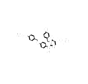 CCOC(=O)c1cnc(Nc2ccc(OCc3ccc(OC)cc3)cc2)n(Cc2ccc(Cl)cc2)c1=O